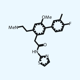 CNCCc1cc(OC)c(-c2ccc(F)c(C)c2)cc1CC(=O)Nc1nccs1